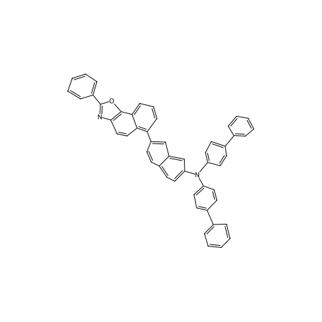 c1ccc(-c2ccc(N(c3ccc(-c4ccccc4)cc3)c3ccc4ccc(-c5cccc6c5ccc5nc(-c7ccccc7)oc56)cc4c3)cc2)cc1